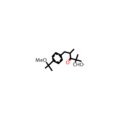 COC(C)(C)c1ccc(CC(C)C(=O)C(C)(C)[C]=O)cc1